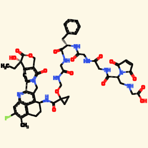 CC[C@@]1(O)C(=O)OCc2c1cc1n(c2=O)Cc2c-1nc1cc(F)c(C)c3c1c2[C@@H](NC(=O)C1(OCNC(=O)CNC(=O)[C@H](Cc2ccccc2)NC(=O)CNC(=O)CNC(=O)C(CNCC(=O)O)N2C(=O)C=CC2=O)CC1)CC3